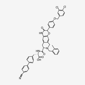 Cc1ccccc1CN1Cc2cc3c(cc2CC1C(=O)N[C@@H](Cc1ccc(-c2ccc(C#N)cc2)cc1)C(=O)O)NC(=O)C(c1ccc(OCc2ccc(Cl)c(Cl)c2)cc1)O3